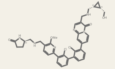 COc1nc(-c2cccc(-c3cccc(-c4ccn5c(=O)c(CNC[C@@H]6C[C@@H]6CO)cnc5c4)c3Cl)c2Cl)ccc1CNC[C@H]1CCC(=O)N1